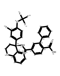 O=C(N[C@]1(c2ccc(OC(F)(F)F)c(F)c2)CCOc2cccnc21)c1ccc(C(=O)O)c(-c2ccccc2)c1